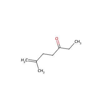 C=C(C)CCC(=O)CC